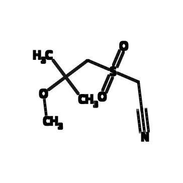 COC(C)(C)CS(=O)(=O)CC#N